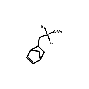 CC[Si](CC)(CC1CC2C=CC1C2)OC